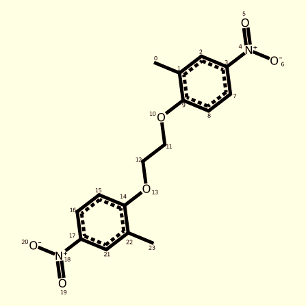 Cc1cc([N+](=O)[O-])ccc1OCCOc1ccc([N+](=O)[O-])cc1C